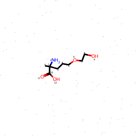 CC(N)(CCCOCCO)C(=O)O